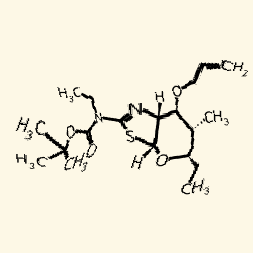 C=CCO[C@H]1[C@H](C)[C@@H](CC)O[C@@H]2SC(N(CC)C(=O)OC(C)(C)C)=N[C@H]12